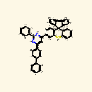 c1ccc(-c2ccc(-c3cc(-c4ccc5c(c4)Sc4ccccc4C54c5ccccc5-c5ccccc54)nc(-c4ccccc4)n3)cc2)cc1